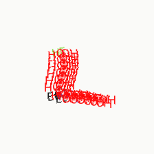 CCC(N)(CC)CC.F.OB(O)O.OB(O)O.OB(O)O.OB(O)O.OB(O)O.OB(O)O.OB(O)O.OB(O)O.OB(O)O.OB(O)O.OB(O)O.OB(O)O